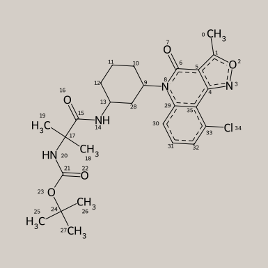 Cc1onc2c1c(=O)n(C1CCCC(NC(=O)C(C)(C)NC(=O)OC(C)(C)C)C1)c1cccc(Cl)c21